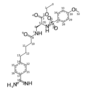 CCOC(=O)[C@H](CNC(=O)CCCCc1ccc(C(=N)N)cc1)NS(=O)(=O)c1ccc(OC)cc1